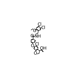 C=C(O)C1CCOc2cc(Oc3ccc(C(=O)NCCc4cc(Cl)c(Cl)cc4OCC)cc3)c(Cl)cc21